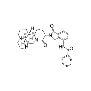 O=C(Nc1cccc2c1CN(C1CC[C@@H]3[C@H]4CCCN5CCC[C@@H](CN3C1=O)[C@@H]45)C2=O)c1ccccc1